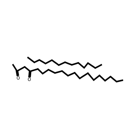 CCCCCCCCCCCCC.CCCCCCCCCCCCCCCC(=O)CC(C)=O